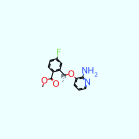 COC(=O)c1ccc(F)cc1[C@@H](C)Oc1cccnc1N